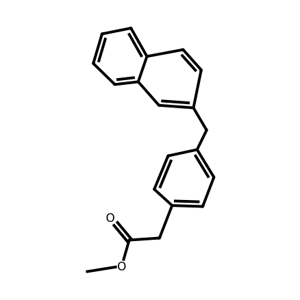 COC(=O)Cc1ccc(Cc2ccc3ccccc3c2)cc1